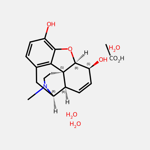 CC(=O)O.CN1CC[C@]23c4c5ccc(O)c4O[C@H]2[C@@H](O)C=C[C@H]3[C@H]1C5.O.O.O